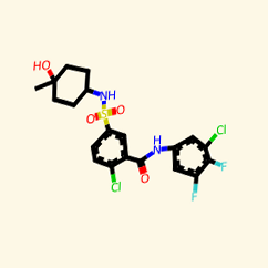 CC1(O)CCC(NS(=O)(=O)c2ccc(Cl)c(C(=O)Nc3cc(F)c(F)c(Cl)c3)c2)CC1